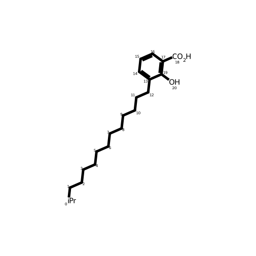 CC(C)CCCCCCCCCCCCc1cccc(C(=O)O)c1O